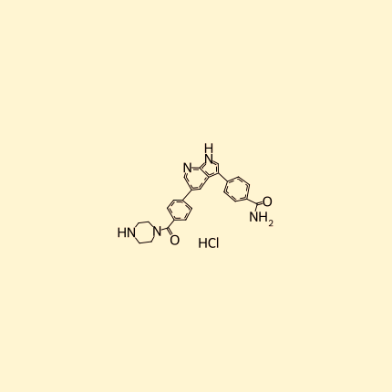 Cl.NC(=O)c1ccc(-c2c[nH]c3ncc(-c4ccc(C(=O)N5CCNCC5)cc4)cc23)cc1